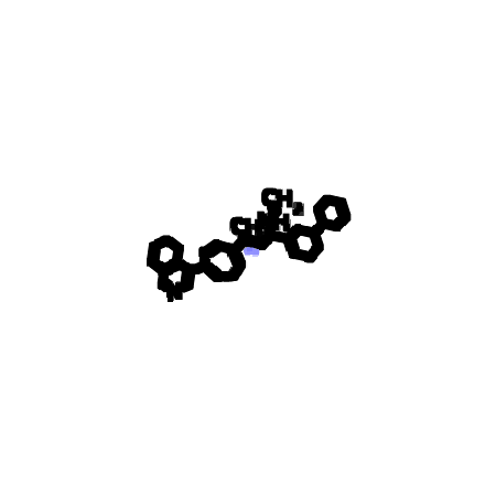 C=CNC(/C=C(\C)C1=CCC=C(c2cncc3c2CCC=C3)C=C1)C1=CCCC(C2CC=CCC2)C1